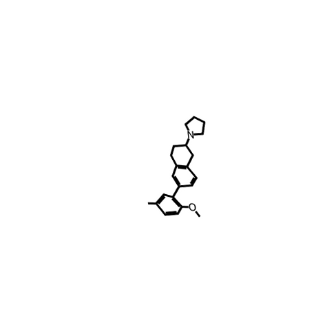 COc1ccc(C)cc1-c1ccc2c(c1)CCC(N1CCCC1)C2